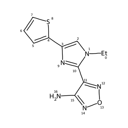 CCn1cc(-c2cccs2)nc1-c1nonc1N